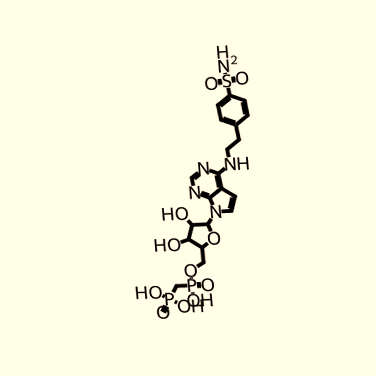 NS(=O)(=O)c1ccc(CCNc2ncnc3c2ccn3C2OC(COP(=O)(O)CP(=O)(O)O)C(O)C2O)cc1